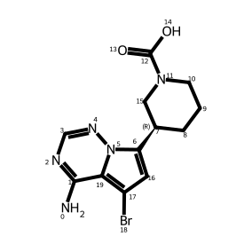 Nc1ncnn2c([C@@H]3CCCN(C(=O)O)C3)cc(Br)c12